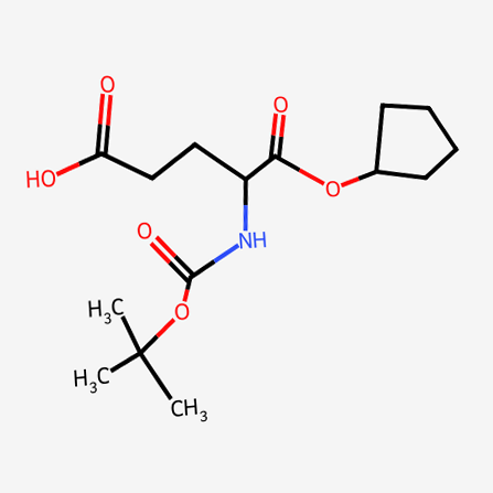 CC(C)(C)OC(=O)NC(CCC(=O)O)C(=O)OC1CCCC1